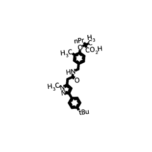 CCCC(C)(Oc1ccc(CNC(=O)Cc2cc(-c3ccc(C(C)(C)C)cc3)nn2C)cc1C)C(=O)O